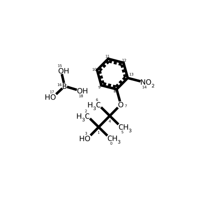 CC(C)(O)C(C)(C)Oc1ccccc1[N+](=O)[O-].OB(O)O